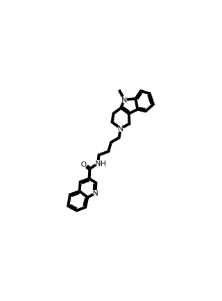 Cn1c2c(c3ccccc31)CN(CCCCNC(=O)c1cnc3ccccc3c1)CC2